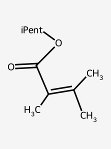 CCCC(C)OC(=O)C(C)=C(C)C